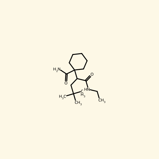 CCNC(=O)C(CC(C)(C)C)C1(C(N)=O)CCCCC1